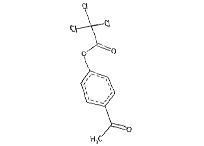 CC(=O)c1ccc(OC(=O)C(Cl)(Cl)Cl)cc1